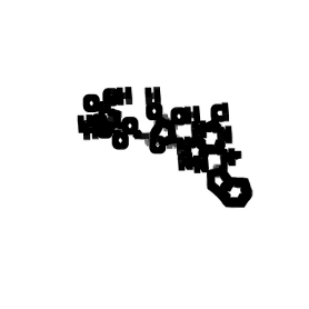 CN(c1nc(Cl)nc2c1nnn2[C@@H]1O[C@H](COP(=O)(O)CP(=O)(O)O)[C@@H](O)[C@H]1O)[C@@H]1CCc2ccccc21